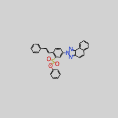 O=S(=O)(Oc1ccccc1)c1cc(-n2nc3ccc4ccccc4c3n2)ccc1/C=C/c1ccccc1